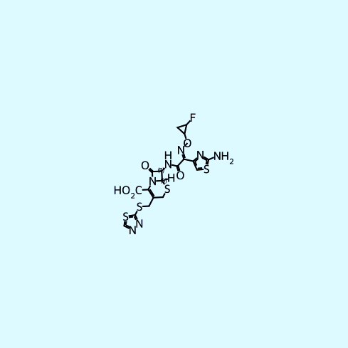 Nc1nc(C(=NOC2CC2F)C(=O)N[C@@H]2C(=O)N3C(C(=O)O)=C(CSc4nncs4)CS[C@@H]23)cs1